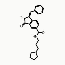 C[C@H]1C(=O)c2cc(C(=O)NCCCN3CCCC3)ccc2/C1=C\c1ccccc1